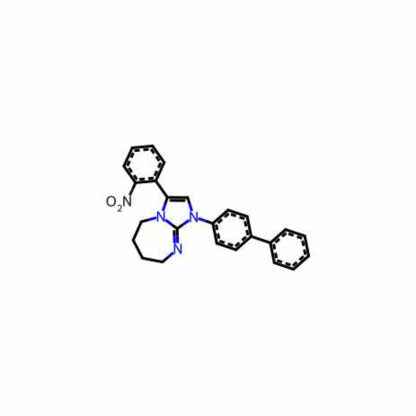 O=[N+]([O-])c1ccccc1C1=CN(c2ccc(-c3ccccc3)cc2)C2=NCCCCN12